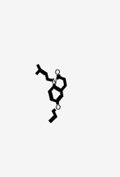 C=CCOc1ccc2c(c1)CCC(=O)N2CC=C(C)C